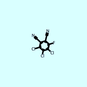 N#Cc1c(F)c(Cl)c(Cl)c(Cl)c1C#N